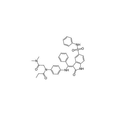 CCC(=O)N(CC(=O)N(C)C)c1ccc(N/C(=C2\C(=O)Nc3ccc(S(=O)(=O)Nc4ccccc4)cc32)c2ccccc2)cc1